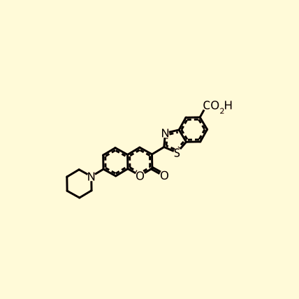 O=C(O)c1ccc2sc(-c3cc4ccc(N5CCCCC5)cc4oc3=O)nc2c1